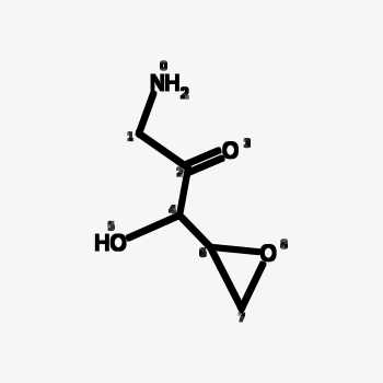 NCC(=O)C(O)C1CO1